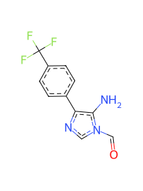 Nc1c(-c2ccc(C(F)(F)F)cc2)ncn1C=O